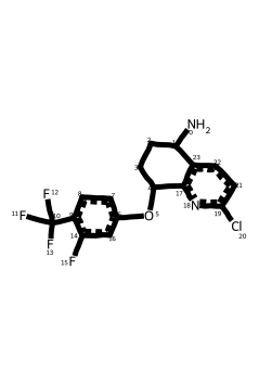 NC1CCC(Oc2ccc(C(F)(F)F)c(F)c2)c2nc(Cl)ccc21